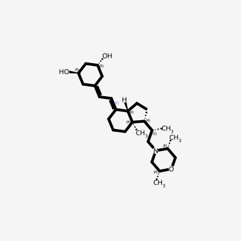 C[C@@H]1CN(C[C@@H](C)[C@H]2CC[C@H]3/C(=C/C=C4C[C@@H](O)C[C@H](O)C4)CCC[C@]23C)[C@H](C)CO1